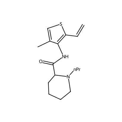 C=Cc1scc(C)c1NC(=O)C1CCCCN1CCC